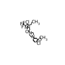 CCCc1c(Cl)c(C(F)(F)F)nn1CC(=O)N1CCN(c2ccc(Cl)c(OC)c2)CC1